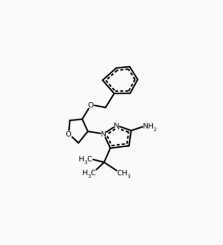 CC(C)(C)c1cc(N)nn1C1COCC1OCc1ccccc1